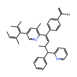 C=C(CC)c1ccc(/C(=C/C(C)C(c2ccccc2)c2ccccn2)c2ncc(C(=C(C)C)/C(C)=C\C)cc2C)cc1